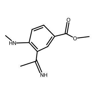 CNc1ccc(C(=O)OC)cc1C(C)=N